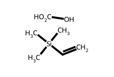 C=C[Si](C)(C)C.O=C(O)O